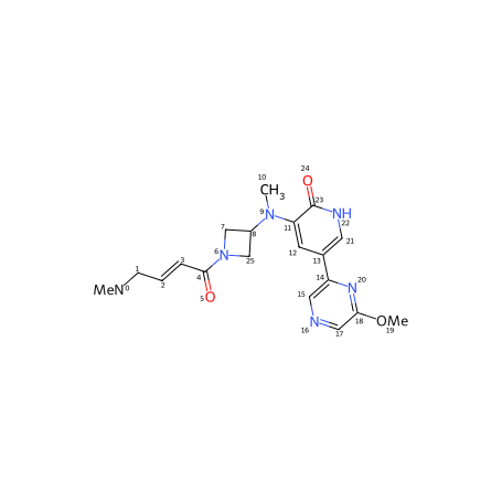 CNCC=CC(=O)N1CC(N(C)c2cc(-c3cncc(OC)n3)c[nH]c2=O)C1